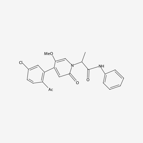 COc1cn(C(C)C(=O)Nc2ccccc2)c(=O)cc1-c1cc(Cl)ccc1C(C)=O